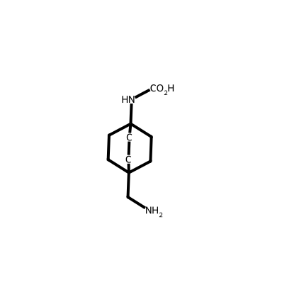 NCC12CCC(NC(=O)O)(CC1)CC2